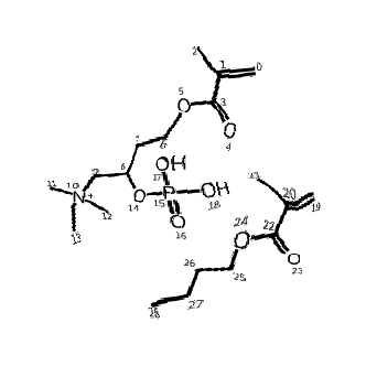 C=C(C)C(=O)OCCC(C[N+](C)(C)C)OP(=O)(O)O.C=C(C)C(=O)OCCCC